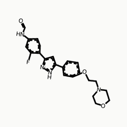 O=CNc1ccc(-c2cc(-c3ccc(OCCN4CCOCC4)cc3)[nH]n2)c(F)c1